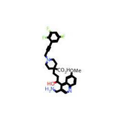 COc1ccc2ncc(CN)c(C(O)CCC3(C(=O)O)CCN(CC#Cc4cc(F)cc(F)c4F)CC3)c2c1